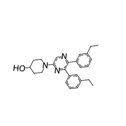 CCc1cccc(-c2ncc(N3CCC(O)CC3)nc2-c2cccc(CC)c2)c1